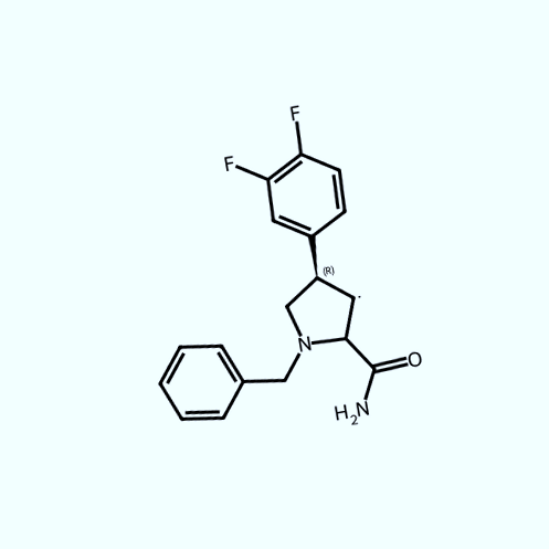 NC(=O)C1[CH][C@H](c2ccc(F)c(F)c2)CN1Cc1ccccc1